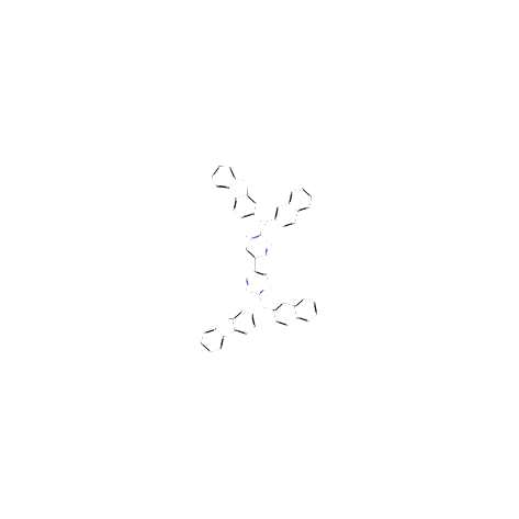 c1ccc2cc(N(c3ccc4c(c3)oc3ccccc34)c3ncc4c(n3)sc3nc(N(c5ccc6ccccc6c5)c5ccc6c(c5)oc5ccccc56)ncc34)ccc2c1